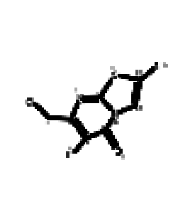 O=c1c(Cl)c(CCl)nc2sc(Cl)cn12